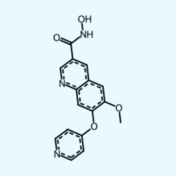 COc1cc2cc(C(=O)NO)cnc2cc1Oc1ccncc1